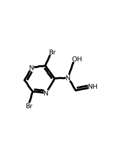 N=CN(O)c1nc(Br)cnc1Br